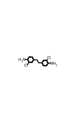 Nc1ccc(CCc2ccc(N)c(Cl)c2)cc1Cl